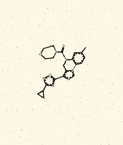 Cc1ccc2c(c1)N(C(=O)N1CCOCC1)Cc1c(-c3nc(C4CC4)no3)ncn1-2